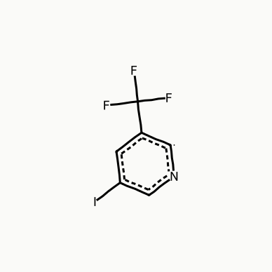 FC(F)(F)c1[c]ncc(I)c1